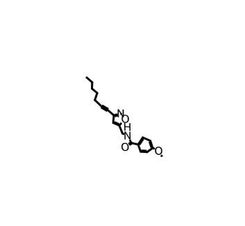 CCCCCC#Cc1cc(CNC(=O)c2ccc(OC)cc2)on1